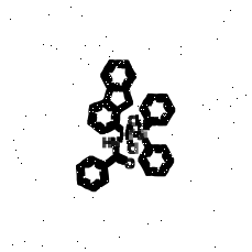 O=C([NH][Hf]([Cl])([Cl])([c]1cccc2c1Cc1ccccc1-2)[SiH](c1ccccc1)c1ccccc1)c1ccccc1